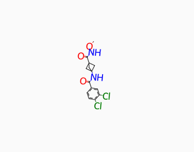 CONC(=O)C12CC(NC(=O)c3ccc(Cl)c(Cl)c3)(C1)C2